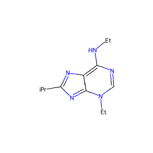 CCNc1ncn(CC)c2nc(C(C)C)nc1-2